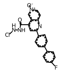 O=C(NNCl)c1cc(-c2ccc(-c3ccc(F)cc3)cc2)nc2cc[n+]([O-])cc12